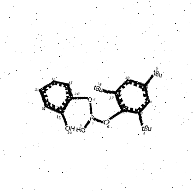 CC(C)(C)c1cc(C(C)(C)C)c(OP(O)Oc2ccccc2O)c(C(C)(C)C)c1